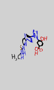 CCNC(=S)Nc1ccc2ncc(Nc3cc(C(=O)O)ccc3O)nc2n1